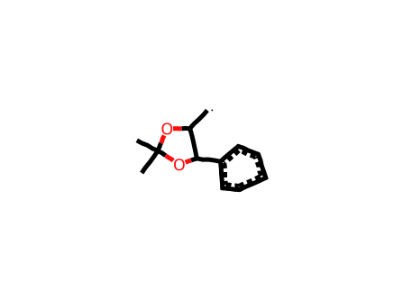 [CH2]C1OC(C)(C)OC1c1ccccc1